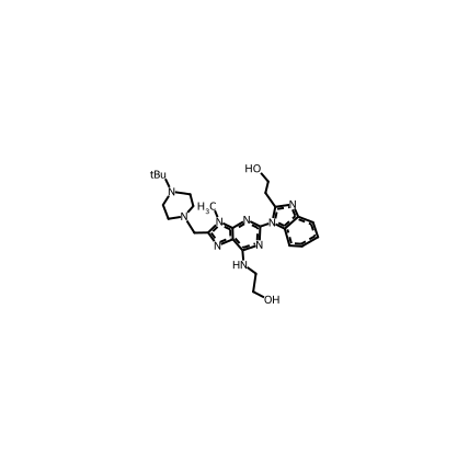 Cn1c(CN2CCN(C(C)(C)C)CC2)nc2c(NCCO)nc(-n3c(CCO)nc4ccccc43)nc21